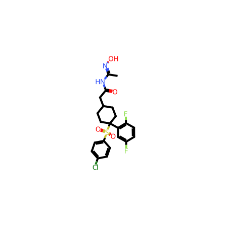 C/C(=N\O)NC(=O)CC1CCC(c2cc(F)ccc2F)(S(=O)(=O)c2ccc(Cl)cc2)CC1